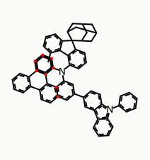 Cc1cccc2c1-c1c(N(c3cccc(-c4ccc5c(c4)c4ccccc4n5-c4ccccc4)c3)c3ccccc3-c3ccccc3-c3ccccc3-c3ccccc3)cccc1C21C2CC3CC(C2)CC1C3